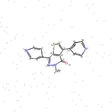 CCCn1nc(-c2ccncc2)c2scc(-c3ccncc3)c2c1=O